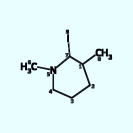 CC1CCCN(C)C1I